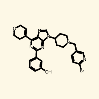 Oc1cccc(-c2nc(C3=CCOCC3)c3ncn(C4CCN(Cc5ccc(Br)nc5)CC4)c3n2)c1